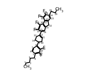 CCCCCc1ccc(C2CC=C(c3cc4c(c(F)c3F)-c3c(cc(CCC)c(F)c3F)C4)CC2)c(F)c1F